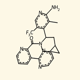 Cc1c(N)ncc(C(F)(F)F)c1C1CC2CC2CN1C(=O)c1ncccc1-c1ncccn1